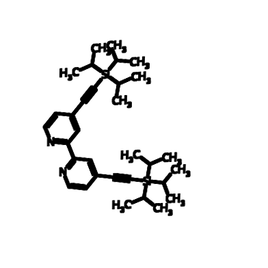 CC(C)[Si](C#Cc1ccnc(-c2cc(C#C[Si](C(C)C)(C(C)C)C(C)C)ccn2)c1)(C(C)C)C(C)C